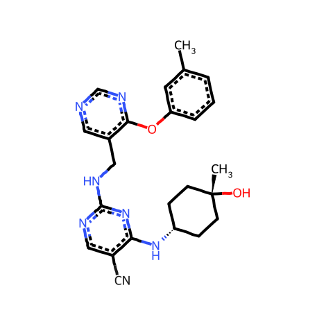 Cc1cccc(Oc2ncncc2CNc2ncc(C#N)c(N[C@H]3CC[C@@](C)(O)CC3)n2)c1